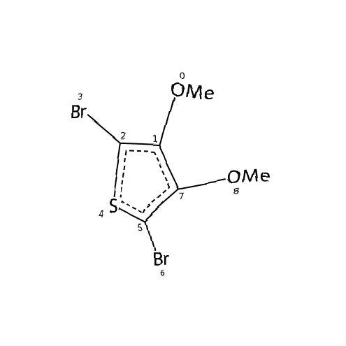 COc1c(Br)sc(Br)c1OC